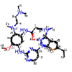 C=CC(=O)Nc1cc(Nc2nccc(-n3nc(NC)c4cc(CC)sc43)n2)c(OC)cc1N(C)CCN(C)C